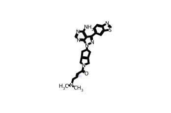 CN(C)C/C=C/C(=O)N1CC2=C(CC(n3nc(-c4ccc5ncsc5c4)c4c(N)ncnc43)C2)C1